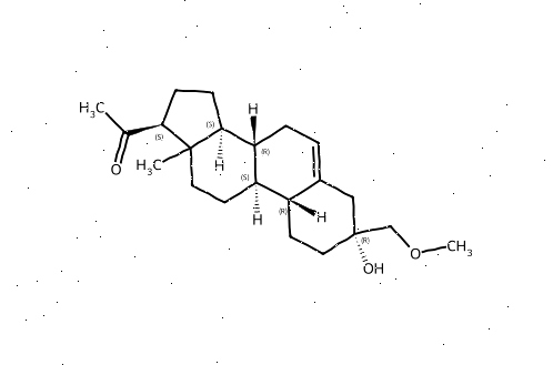 COC[C@@]1(O)CC[C@H]2C(=CC[C@@H]3[C@@H]2CCC2(C)[C@@H](C(C)=O)CC[C@@H]32)C1